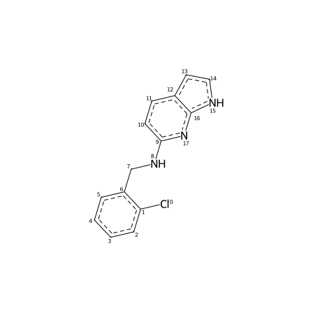 Clc1ccccc1CNc1ccc2cc[nH]c2n1